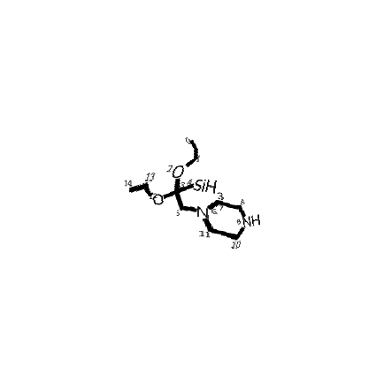 CCOC([SiH3])(CN1CCNCC1)OCC